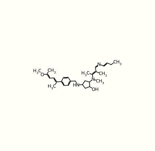 CC/C=C/N=C\C(C)=C(/C)N(C)C1CC(NCc2ccc(/C(C)=C/C=C(\C)OC)cc2)CC1O